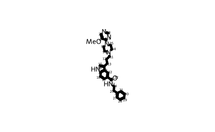 COc1cncnc1N1CCN(CCCc2c[nH]c3ccc(C(=O)NCCc4ccccc4)cc23)CC1